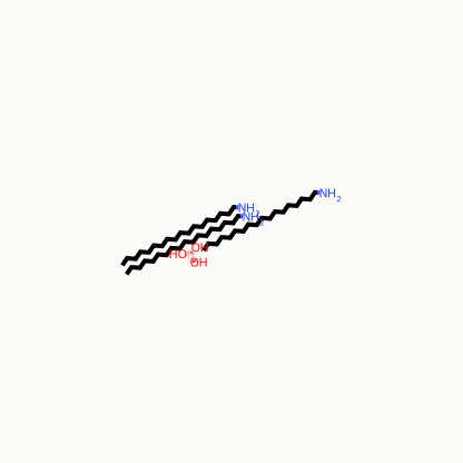 CCCCCCCCCCCCCCCCCCN.CCCCCCCCCCCCCCCCCCN.CCCCCCCCCCCCCCCCCCN.OB(O)O